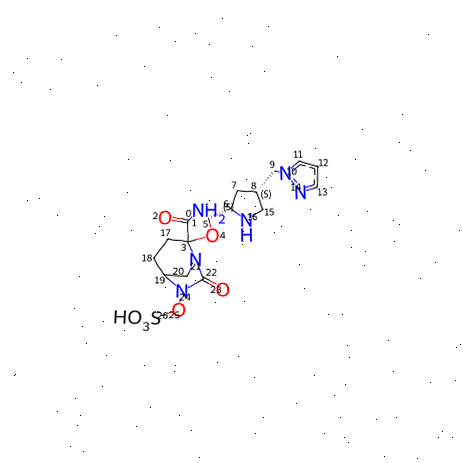 NC(=O)C1(OC[C@@H]2C[C@H](Cn3cccn3)CN2)CCC2CN1C(=O)N2OS(=O)(=O)O